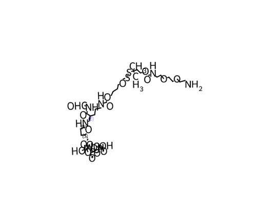 CC(C)(CCOC(=O)NCCOCCOCCN)SSCOCCCCOC(=O)NCCC/C(=C/N[C@H]1CC[C@@H](COP(=O)(O)OP(=O)(O)OP(=O)(O)O)O1)C(=O)NC=O